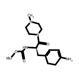 CN1CCN(C(=O)[C@@H](CC2=CC=C(N)CC2)NC(=O)OC(C)(C)C)CC1